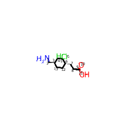 Cl.NC[C@H]1CC[C@H](CCC(=O)O)CC1